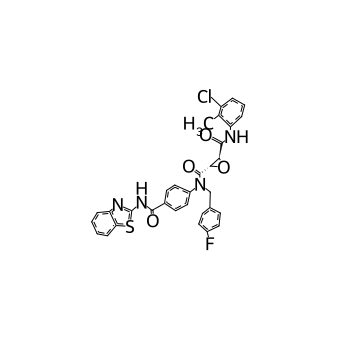 Cc1c(Cl)cccc1NC(=O)[C@H]1O[C@@H]1C(=O)N(Cc1ccc(F)cc1)c1ccc(C(=O)Nc2nc3ccccc3s2)cc1